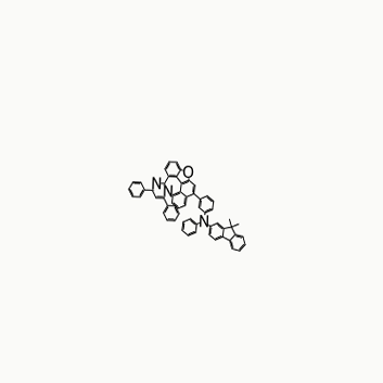 CC1(C)c2ccccc2-c2ccc(N(c3ccccc3)c3cccc(-c4cc5oc6cccc(-c7nc(-c8ccccc8)cc(-c8ccccc8)n7)c6c5c5ccccc45)c3)cc21